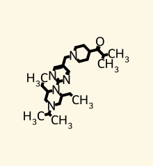 CCC1CN(C(C)C)CC(CC)N1c1ncc(CN2CCC(C(=O)C(C)C)CC2)cn1